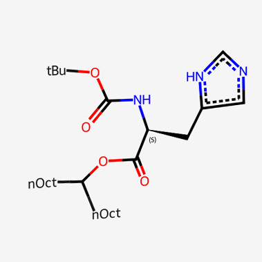 CCCCCCCCC(CCCCCCCC)OC(=O)[C@H](Cc1cnc[nH]1)NC(=O)OC(C)(C)C